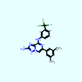 Cc1cc(C)cc(-c2cn3nc(N)nc3c(Nc3cccc(C(F)(F)F)c3)n2)c1